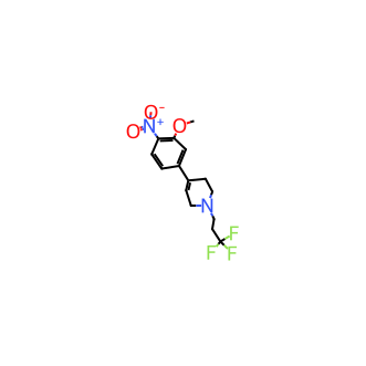 COc1cc(C2=CCN(CCC(F)(F)F)CC2)ccc1[N+](=O)[O-]